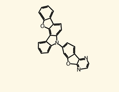 c1ccc2c(c1)oc1c2ccc2c1c1ccccc1n2-c1ccc2c(c1)oc1nccnc12